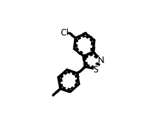 Cc1ccc(-c2snc3ccc(Cl)cc23)cc1